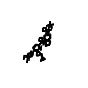 CC(C)(C)OC(=O)N1CCC2(CCCN2C(=O)c2ccc(N3CC(F)(F)C3)c(OCC3CC3)n2)CC1